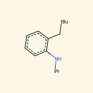 CC(C)Nc1ccccc1CC(C)(C)C